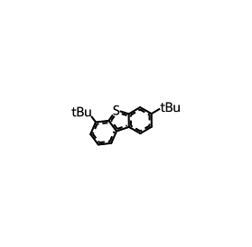 CC(C)(C)c1ccc2c(c1)sc1c(C(C)(C)C)cccc12